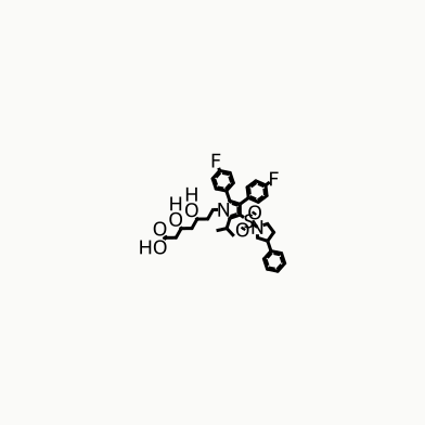 CC(C)c1c(S(=O)(=O)N2CCC(c3ccccc3)C2)c(-c2ccc(F)cc2)c(-c2ccc(F)cc2)n1CCC(O)CC(O)CC(=O)O